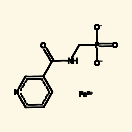 O=C(NCP(=O)([O-])[O-])c1cccnc1.[Fe+2]